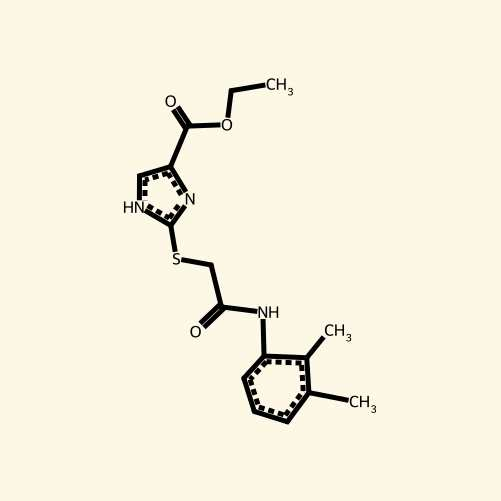 CCOC(=O)c1c[nH]c(SCC(=O)Nc2cccc(C)c2C)n1